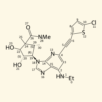 CCNc1cc(C#Cc2ccc(Cl)s2)nc2c1ncn2[C@H]1[C@H](O)C(O)C(C)(C(=O)NC)[C@@H]1C